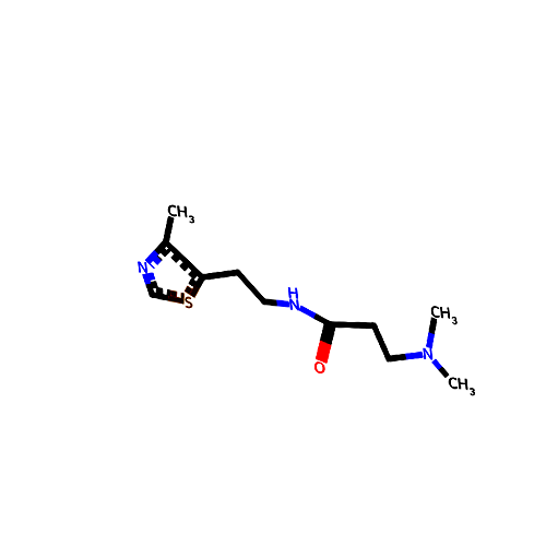 Cc1ncsc1CCNC(=O)CCN(C)C